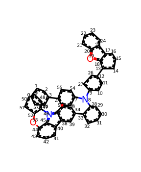 c1ccc(-c2ccc(N(c3ccc(-c4cccc5c4oc4ccccc45)cc3)c3ccccc3-c3ccc4c(c3)c3cccc5c3n4-c3ccccc3O5)cc2)cc1